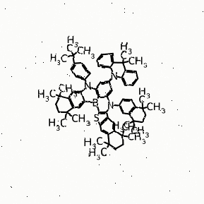 CC(C)(C)c1ccc(N2c3cc4c(cc3B3c5sc6cc7c(cc6c5N(c5ccc6c(c5)C(C)(C)CCC6(C)C)c5cc(N6c8ccccc8C(C)(C)c8ccccc86)cc2c53)C(C)(C)CCC7(C)C)C(C)(C)CCC4(C)C)cc1